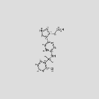 CC(C)(Nc1ncc(-c2c[nH]nc2CC(=O)O)cn1)c1ncccc1Cl